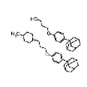 CC1CCN(CCCOc2ccc(C34CC5CC(CC(C5)C3)C4)cc2)CC1.OCCCOc1ccc(C23CC4CC(CC(C4)C2)C3)cc1